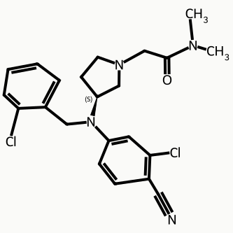 CN(C)C(=O)CN1CC[C@H](N(Cc2ccccc2Cl)c2ccc(C#N)c(Cl)c2)C1